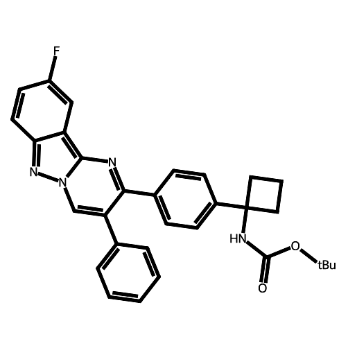 CC(C)(C)OC(=O)NC1(c2ccc(-c3nc4c5cc(F)ccc5nn4cc3-c3ccccc3)cc2)CCC1